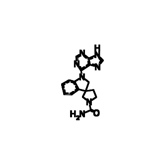 NC(=O)N1CCC2(C1)CN(c1ncnc3[nH]cnc13)c1ccccc12